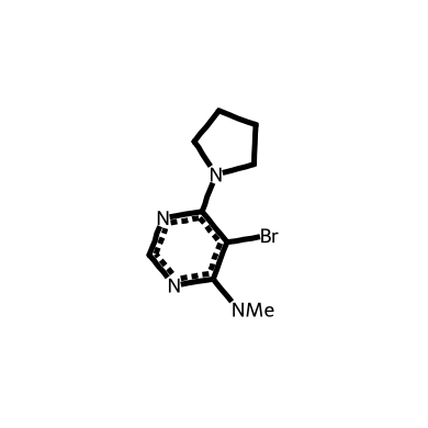 CNc1ncnc(N2CCCC2)c1Br